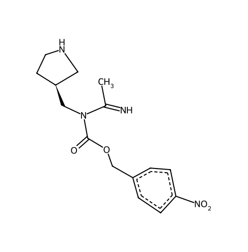 CC(=N)N(C[C@H]1CCNC1)C(=O)OCc1ccc([N+](=O)[O-])cc1